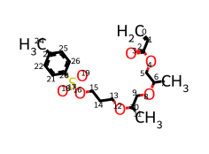 C=CC(=O)OCC(C)OCC(C)OCCCOS(=O)(=O)c1ccc(C)cc1